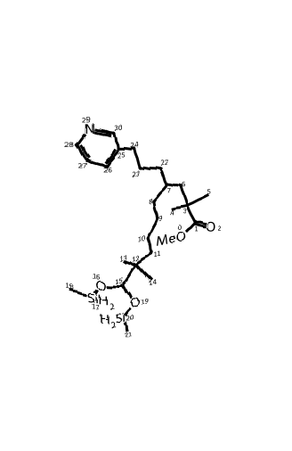 COC(=O)C(C)(C)CC(CCCCC(C)(C)C(O[SiH2]C)O[SiH2]C)CCCc1cccnc1